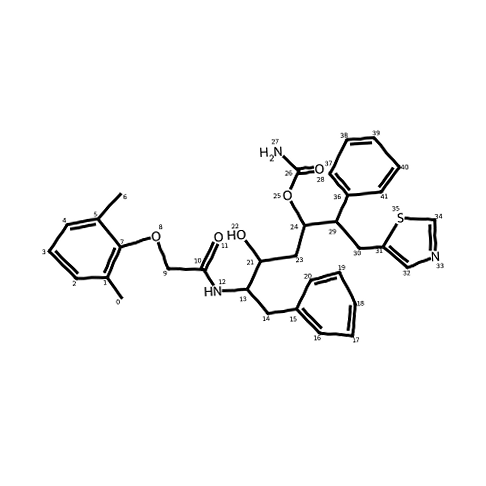 Cc1cccc(C)c1OCC(=O)NC(Cc1ccccc1)C(O)CC(OC(N)=O)C(Cc1cncs1)c1ccccc1